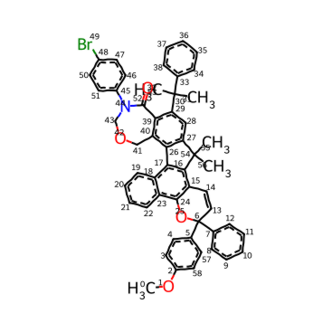 COc1ccc(C2(c3ccccc3)C=Cc3c4c(c5ccccc5c3O2)-c2c(cc(C(C)(C)c3ccccc3)c3c2COCN(c2ccc(Br)cc2)C3=O)C4(C)C)cc1